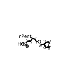 CCCCCC(/C=C/S(=O)O)CCOCc1ccccc1